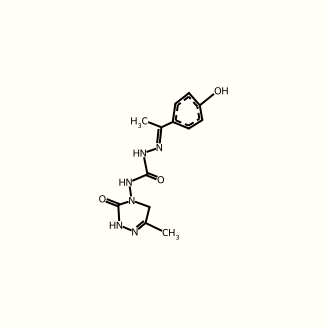 CC1=NNC(=O)N(NC(=O)N/N=C(\C)c2ccc(O)cc2)C1